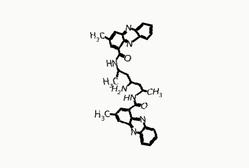 Cc1cc(C(=O)NC(C)CC(N)CC(C)NC(=O)c2cc(C)cc3nc4ccccc4nc23)c2nc3ccccc3nc2c1